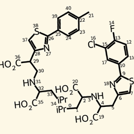 CC(C)CC(NC(Cc1csc(-c2ccc(F)c(Cl)c2)n1)C(=O)O)C(=O)O.Cc1ccc(-c2nc(C(CNC(CC(C)C)C(=O)O)C(=O)O)cs2)cc1